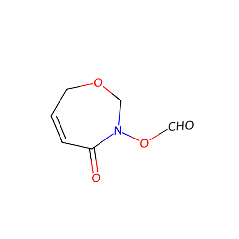 O=CON1COCC=CC1=O